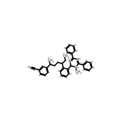 CCC(CCC(C)c1cccc(C#N)c1)c1ccccc1C1N=C(c2ccccc2)N=C(c2ccccc2)N1C